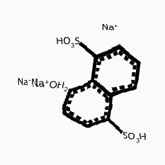 O.O=S(=O)(O)c1cccc2c(S(=O)(=O)O)cccc12.[Na+].[Na+].[Na+]